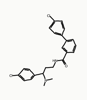 CN(C)C(CCNC(=O)c1cccc(-c2ccc(Cl)cc2)c1)c1ccc(Cl)cc1